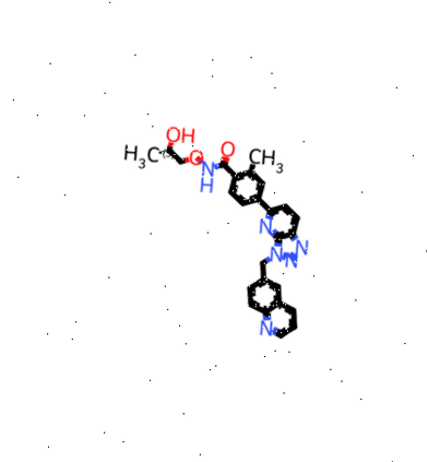 Cc1cc(-c2ccc3nnn(Cc4ccc5ncccc5c4)c3n2)ccc1C(=O)NOC[C@H](C)O